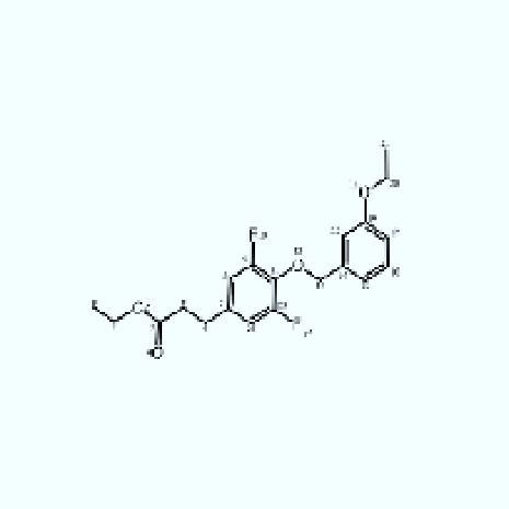 CCOC(=O)CCc1cc(F)c(OCc2cccc(OCC)c2)c(F)c1